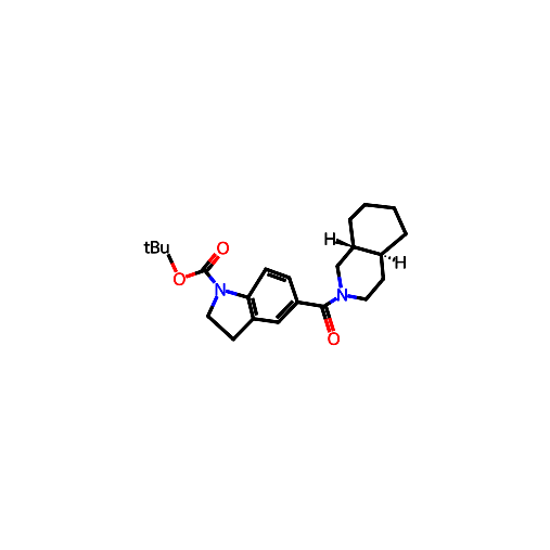 CC(C)(C)OC(=O)N1CCc2cc(C(=O)N3CC[C@@H]4CCCC[C@H]4C3)ccc21